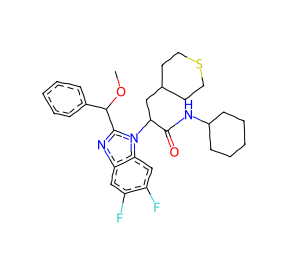 COC(c1ccccc1)c1nc2cc(F)c(F)cc2n1C(CC1CCSCC1)C(=O)NC1CCCCC1